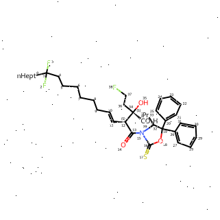 CCCCCCCC(F)(F)CCCCCCC=C[C@H](C(=O)N1C(=S)OC(c2ccccc2)(c2ccccc2)C1C(C)C)[C@@](O)(CCF)C(=O)O